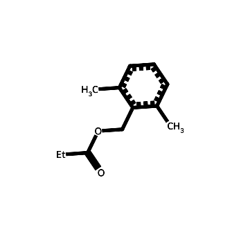 CCC(=O)OCc1c(C)cccc1C